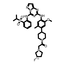 COc1cc(C2CCN(C(=O)CN3CC[C@H](F)C3)CC2)c(C)cc1Nc1nc(Nc2ccccc2S(=O)(=O)C(C)C)n2nccc2n1